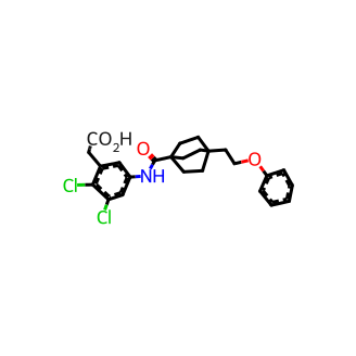 O=C(O)Cc1cc(NC(=O)C23CCC(CCOc4ccccc4)(CC2)CC3)cc(Cl)c1Cl